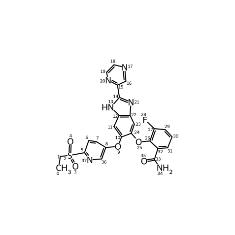 CCS(=O)(=O)c1ccc(Oc2cc3[nH]c(-c4cnccn4)nc3cc2Oc2c(F)cccc2C(N)=O)cn1